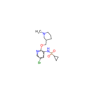 CN1CCCC(COc2ncc(Br)cc2NS(=O)(=O)C2CC2)C1